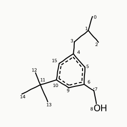 CC(C)Cc1cc([CH]O)cc(C(C)(C)C)c1